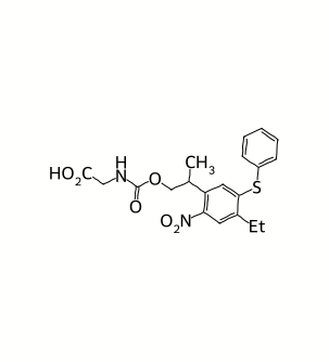 CCc1cc([N+](=O)[O-])c(C(C)COC(=O)NCC(=O)O)cc1Sc1ccccc1